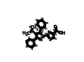 CN(C)c1c(-c2ccccc2)nn(-c2nc(C(=O)O)cs2)c1-c1ccccc1